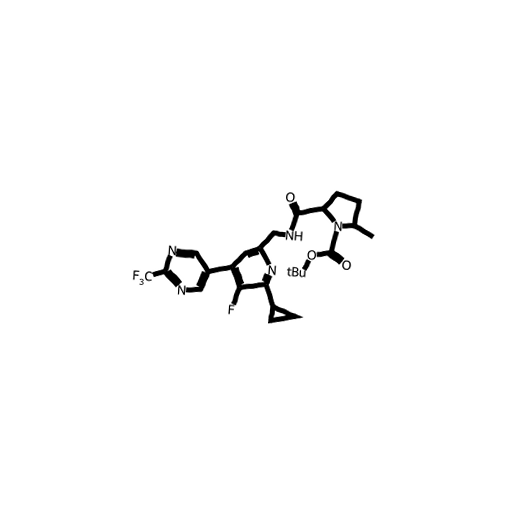 CC1CCC(C(=O)NCc2cc(-c3cnc(C(F)(F)F)nc3)c(F)c(C3CC3)n2)N1C(=O)OC(C)(C)C